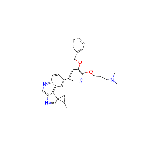 CC1CC12C=Nc1cnc3ccc(-c4cnc(OCCCN(C)C)c(OCc5ccccc5)c4)cc3c12